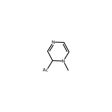 CC(=O)C1C=NC=CN1C